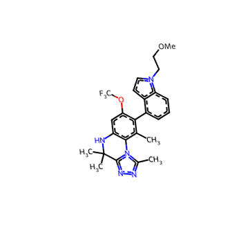 COCCn1ccc2c(-c3c(OC(F)(F)F)cc4c(c3C)-n3c(C)nnc3C(C)(C)N4)cccc21